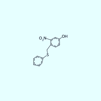 O=[N+]([O-])c1cc(O)ccc1CSc1ccccc1